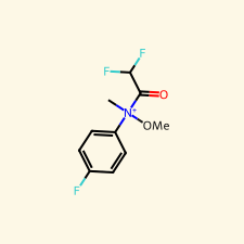 CO[N+](C)(C(=O)C(F)F)c1ccc(F)cc1